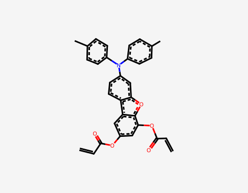 C=CC(=O)Oc1cc(OC(=O)C=C)c2oc3cc(N(c4ccc(C)cc4)c4ccc(C)cc4)ccc3c2c1